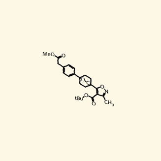 COC(=O)Cc1ccc(C23CCC(c4onc(C)c4C(=O)OC(C)(C)C)(CC2)CO3)cc1